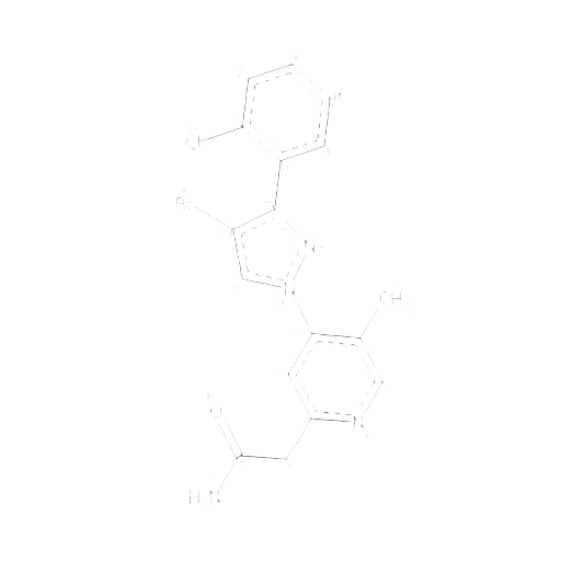 Cc1cnc(CC(N)=O)cc1-n1cc(Br)c(-c2ccccc2Cl)n1